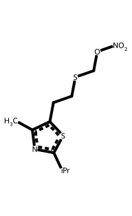 Cc1nc(C(C)C)sc1CCSCO[N+](=O)[O-]